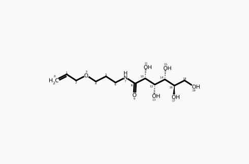 C=CCOCCCNC(=O)[C@H](O)[C@@H](O)[C@H](O)[C@H](O)CO